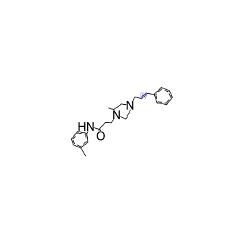 Cc1cccc(NC(=O)CCN2CCN(C/C=C/c3ccccc3)CC2C)c1